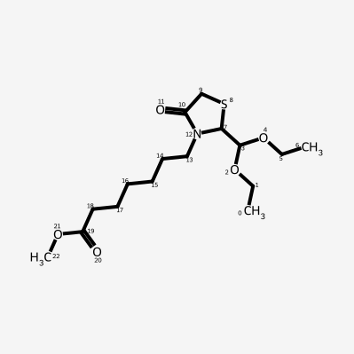 CCOC(OCC)C1SCC(=O)N1CCCCCCC(=O)OC